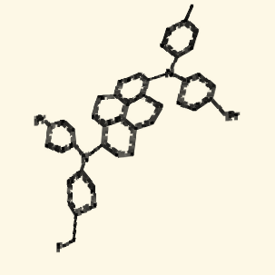 Cc1ccc(N(c2ccc(C(C)C)cc2)c2ccc3ccc4c(N(c5ccc(CF)cc5)c5ccc(C(C)C)cc5)ccc5ccc2c3c54)cc1